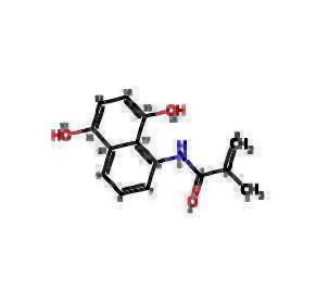 C=C(C)C(=O)Nc1cccc2c(O)ccc(O)c12